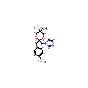 Cc1ccc(CC2(Cn3ccnc3)OCC(C)(C)CO2)cc1